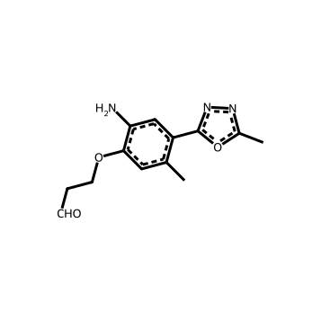 Cc1nnc(-c2cc(N)c(OCCC=O)cc2C)o1